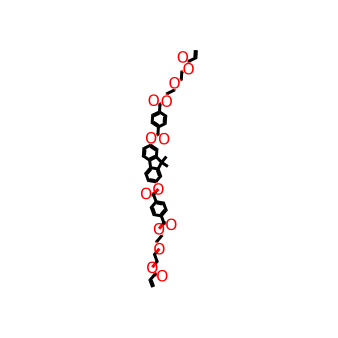 C=CC(=O)OCCOCCOC(=O)c1ccc(C(=O)Oc2ccc3c(c2)C(C)(C)c2cc(OC(=O)c4ccc(C(=O)OCCOCCOC(=O)C=C)cc4)ccc2-3)cc1